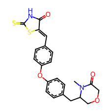 CN1C(=O)COCC1Cc1ccc(Oc2ccc(/C=C3\SC(=S)NC3=O)cc2)cc1